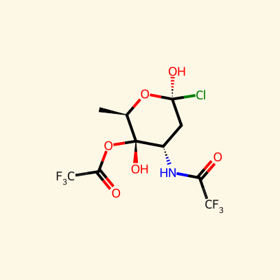 C[C@H]1O[C@@](O)(Cl)C[C@H](NC(=O)C(F)(F)F)[C@]1(O)OC(=O)C(F)(F)F